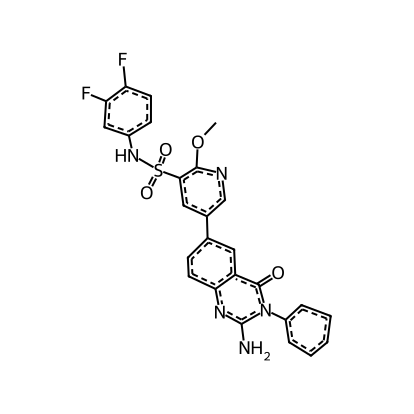 COc1ncc(-c2ccc3nc(N)n(-c4ccccc4)c(=O)c3c2)cc1S(=O)(=O)Nc1ccc(F)c(F)c1